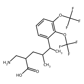 CC(CC(CN)C(=O)O)C(C)c1cccc(OC(F)(F)F)c1OC(F)(F)F